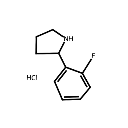 Cl.Fc1ccccc1C1CCCN1